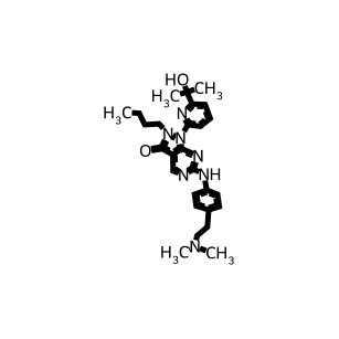 CCCCn1c(=O)c2cnc(Nc3ccc(CCN(C)C)cc3)nc2n1-c1cccc(C(C)(C)O)n1